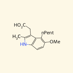 CCCCCc1c(OC)ccc2[nH]c(C)c(CC(=O)O)c12